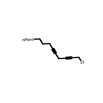 CCCCCCCCC#CCC#CCCl